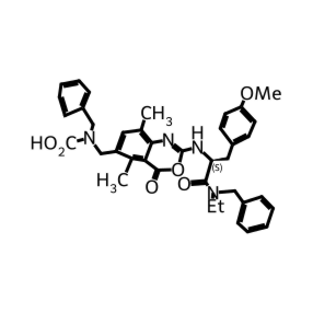 CCN(Cc1ccccc1)C(=O)[C@H](Cc1ccc(OC)cc1)Nc1nc2c(C)cc(CN(Cc3ccccc3)C(=O)O)c(C)c2c(=O)o1